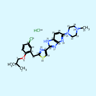 CC(C)COc1ccc(Cl)cc1Cc1nc(-c2nc3nc(N4CCN(C)CC4)ccc3[nH]2)cs1.Cl